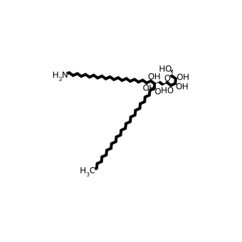 CCCCCCCCCCCCCCCCCCCCCCCCCC(=O)[C@@H](CC[C@H]1O[C@H](CO)[C@H](O)[C@H](O)[C@H]1O)[C@H](O)[C@H](O)CCCCCCCCCCCCCCCCCCCN